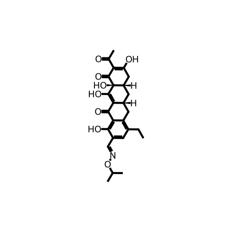 CCc1cc(/C=N/OC(C)C)c(O)c2c1C[C@H]1C[C@H]3CC(O)=C(C(C)=O)C(=O)[C@@]3(O)C(O)=C1C2=O